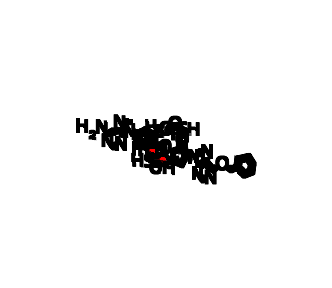 CC(C)(C)[Si](C)(C)OC1[C@@H]2C[C@@H](n3cnc4c(OCc5ccccc5)ncnc43)[C@@H]1OP(=O)(S)OC[C@H]1C[C@@H](n3cnc4c(N)ncnc43)[C@H](F)[C@@H]1OP(=O)(S)O2